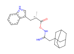 C[C@@H](Cc1c[nH]c2ccccc12)C(=O)ONC(=N)CC12CC3CC(CC(C3)C1)C2